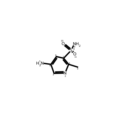 Cc1ncc(N)cc1S(N)(=O)=O